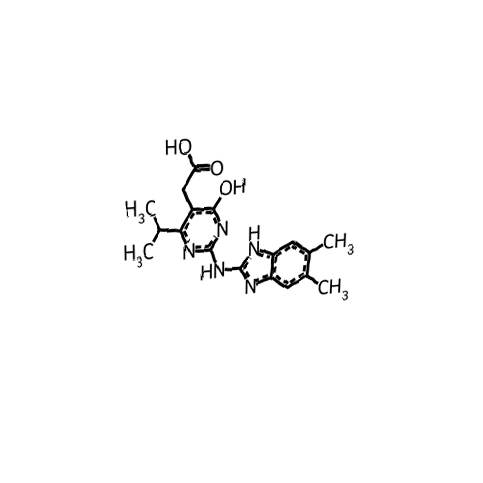 Cc1cc2nc(Nc3nc(O)c(CC(=O)O)c(C(C)C)n3)[nH]c2cc1C